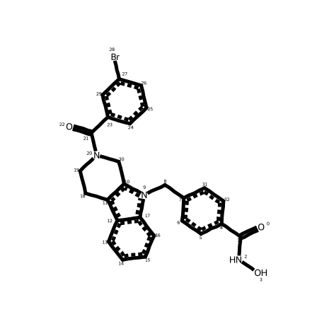 O=C(NO)c1ccc(Cn2c3c(c4ccccc42)CCN(C(=O)c2cccc(Br)c2)C3)cc1